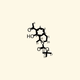 CC(=O)c1ccc2c(c1O)C(C)N(C(=O)OC(C)(C)C)CC2